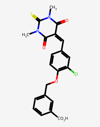 CN1C(=O)C(=Cc2ccc(OCc3cccc(C(=O)O)c3)c(Cl)c2)C(=O)N(C)C1=S